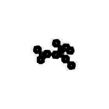 c1ccc(-c2ccc(-n3c4ccc(-c5ccc6c(c5)c5ccccc5n6-c5ccccc5)cc4c4c3c3c5ccccc5ccc3n4-c3ccccc3)cc2)cc1